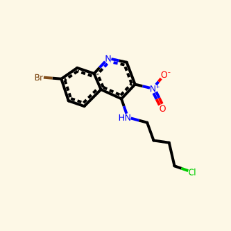 O=[N+]([O-])c1cnc2cc(Br)ccc2c1NCCCCCl